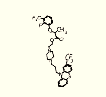 CC(Oc1cccc(C(F)(F)F)c1F)C(=O)OCCN1CCN(CCCN2c3ccccc3Sc3ccc(C(F)(F)F)cc32)CC1